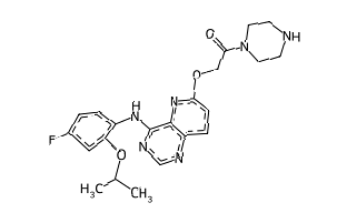 CC(C)Oc1cc(F)ccc1Nc1ncnc2ccc(OCC(=O)N3CCNCC3)nc12